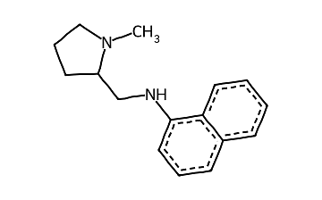 CN1CCCC1CNc1cccc2ccccc12